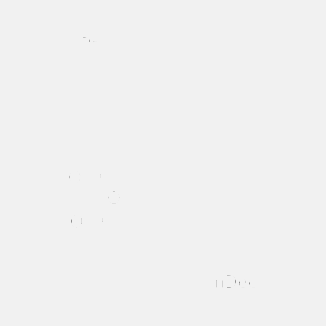 CCCCCCCCCCCCCCCC(=O)OC(=O)CCCCCC(C)C